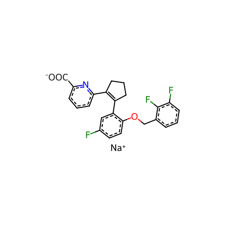 O=C([O-])c1cccc(C2=C(c3cc(F)ccc3OCc3cccc(F)c3F)CCC2)n1.[Na+]